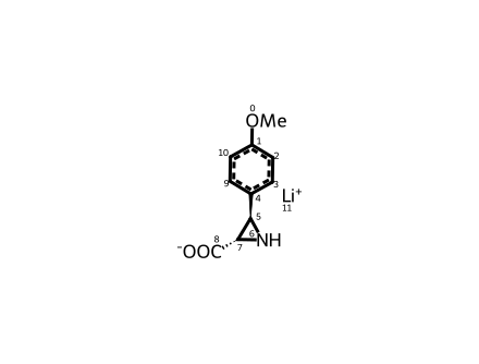 COc1ccc([C@H]2N[C@@H]2C(=O)[O-])cc1.[Li+]